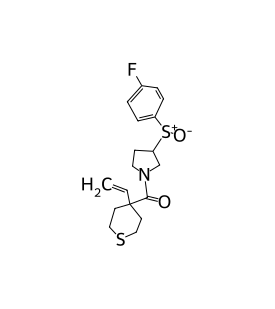 C=CC1(C(=O)N2CCC([S+]([O-])c3ccc(F)cc3)C2)CCSCC1